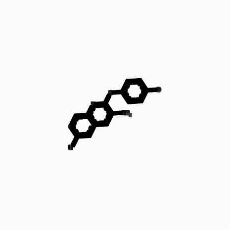 [O]c1ccc(Oc2nc3ccc(Cl)cc3cc2[N+](=O)[O-])cc1